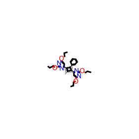 CCCOc1cc([C@@H]2[C@@H](C)[C@H](c3cc(OCCC)nc(OCCC)n3)[C@@H]2c2ccccc2)nc(OCCC)n1